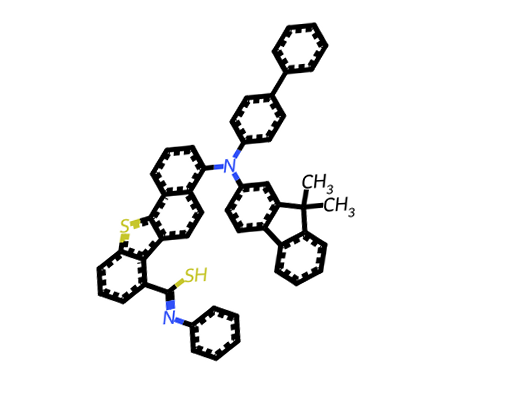 CC1(C)c2ccccc2-c2ccc(N(c3ccc(-c4ccccc4)cc3)c3cccc4c3ccc3c4sc4cccc(/C(S)=N/c5ccccc5)c43)cc21